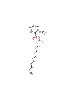 CC(C)CCCCCCCCCCCC(C)OC(=O)C1CC=CCC1C(=O)O